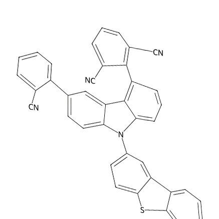 N#Cc1ccccc1-c1ccc2c(c1)c1c(-c3c(C#N)cccc3C#N)cccc1n2-c1ccc2sc3ccccc3c2c1